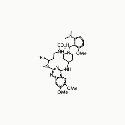 COc1cc2nc(NC(CCNC(=O)O)C(C)(C)C)nc(NC3CCN(Cc4c(OC)cccc4N(C)C)CC3)c2cc1OC